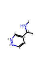 CNC(C)c1ccnnc1